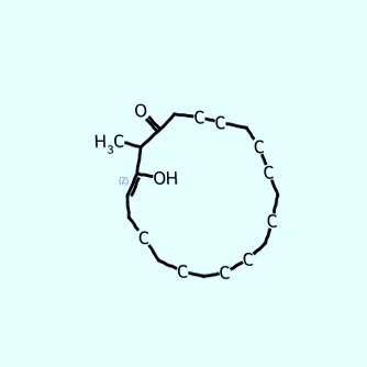 CC1C(=O)CCCCCCCCCCCCCCCC/C=C/1O